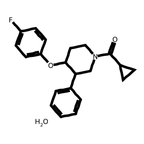 O.O=C(C1CC1)N1CCC(Oc2ccc(F)cc2)C(c2ccccc2)C1